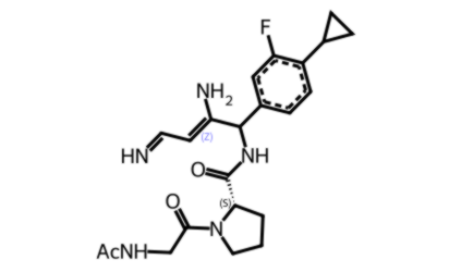 CC(=O)NCC(=O)N1CCC[C@H]1C(=O)NC(/C(N)=C/C=N)c1ccc(C2CC2)c(F)c1